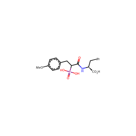 COc1ccc(CC(C(=O)N[C@@H](CC(C)C)C(=O)O)P(=O)(O)O)cc1